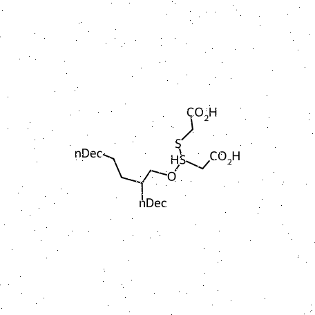 CCCCCCCCCCCCC(CCCCCCCCCC)CO[SH](CC(=O)O)SCC(=O)O